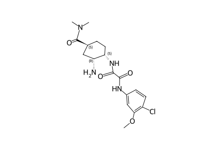 COc1cc(NC(=O)C(=O)N[C@H]2CC[C@H](C(=O)N(C)C)C[C@H]2N)ccc1Cl